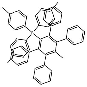 Cc1ccc([B-](c2ccc(C)cc2)(c2ccc(C)cc2)c2c(-c3ccccc3)c(-c3ccccc3)c(C)c(-c3ccccc3)c2-c2ccccc2)cc1